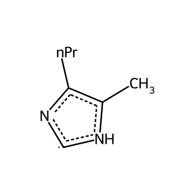 CCCc1n[c][nH]c1C